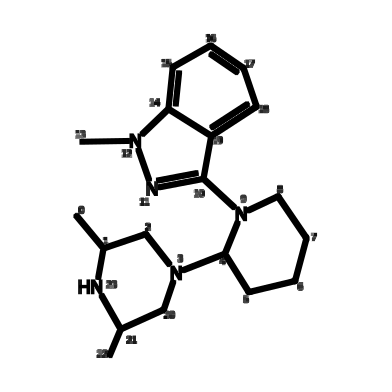 CC1CN(C2CCCCN2c2nn(C)c3ccccc23)CC(C)N1